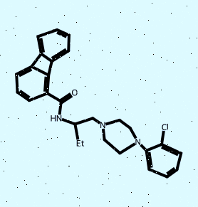 CCC(CN1CCN(c2ccccc2Cl)CC1)NC(=O)c1cccc2c1-c1ccccc1-2